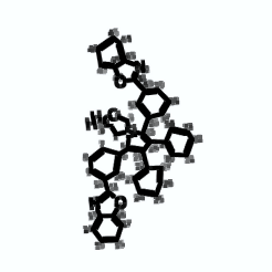 CC[Si]1(CC)C(c2cccc(-c3nc4ccccc4o3)c2)=C(c2ccccc2)C(c2ccccc2)=C1c1cccc(-c2nc3ccccc3o2)c1